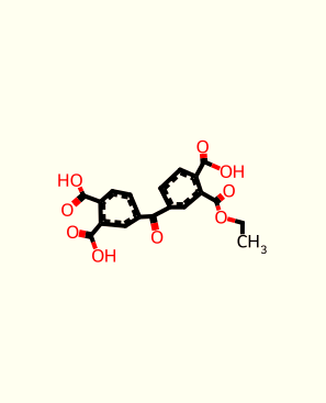 CCOC(=O)c1cc(C(=O)c2ccc(C(=O)O)c(C(=O)O)c2)ccc1C(=O)O